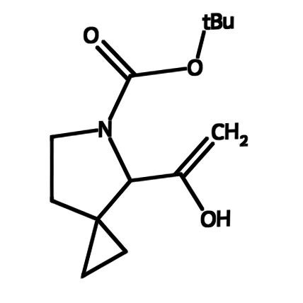 C=C(O)C1N(C(=O)OC(C)(C)C)CCC12CC2